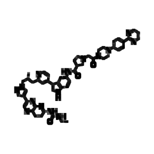 CCNC(=O)Nc1ccc2ncc(-c3cnn(CC(C)Cc4cc(-c5c[nH]c6ccc(NC(=O)C7CCN(CC(=O)N8CCN(c9ccc(-c%10ncccn%10)cc9)CC8)C7)cc56)ccn4)c3)nc2n1